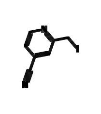 N#Cc1ccnc(CI)c1